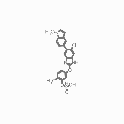 Cc1ccc(Oc2nc3cc(-c4ccc5c(ccn5C)c4)c(Cl)cc3[nH]2)cc1O[PH](=O)O